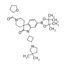 CC1(C)CCN([C@H]2C[C@@H](N3C(=O)C4(CCN(C(=O)[C@@H]5CCCO5)CC4)c4ccc(B5OC(C)(C)C(C)(C)O5)cc43)C2)C1